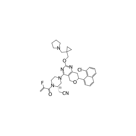 C=C(F)C(=O)N1CCN(c2nc(OCC3(CN4CCCC4)CC3)nc3c2COC(c2cccc4cccc(Cl)c24)C3)C[C@@H]1CC#N